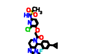 CS(=O)(=O)Nc1ccc(OCC(=O)N2CCc3nc4n(c3C2c2ccc(C3CC3)cc2F)CCS4)c(Cl)n1